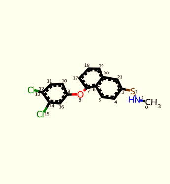 CNSc1ccc2c(Oc3ccc(Cl)c(Cl)c3)cccc2c1